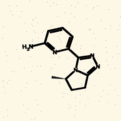 C[C@H]1CCc2nnc(-c3cccc(N)n3)n21